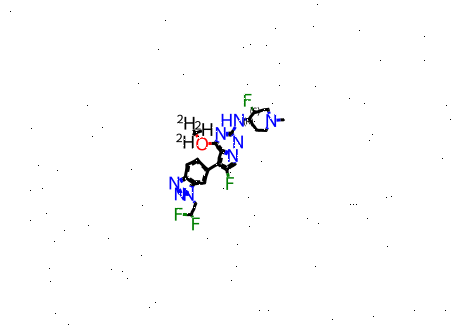 [2H]C([2H])([2H])Oc1nc(N[C@@H]2CCN(C)C[C@@H]2F)nn2cc(F)c(-c3ccc4nnn(CC(F)F)c4c3)c12